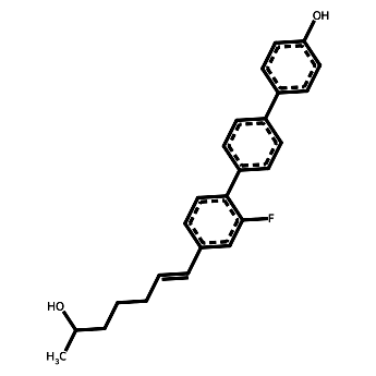 CC(O)CCC/C=C/c1ccc(-c2ccc(-c3ccc(O)cc3)cc2)c(F)c1